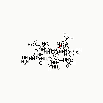 N=C(N)NCCC[C@H](NC(=O)[C@H](CCC(=O)O)NC(=O)[C@H](CCCNC(=N)N)NC(=O)[C@H](CO)NC(=O)[C@H](CCC(=O)O)NC(=O)[C@H](CCCNC(=N)N)NC(=O)[C@H](CO)NC(=O)[C@H](CCC(=O)O)NC(=O)[C@H](CCCNC(=N)N)NC(=O)[C@@H](N)CO)C(=O)O